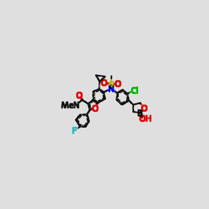 CNC(=O)c1c(-c2ccc(F)cc2)oc2cc(N(c3ccc(C4COB(O)C4)c(Cl)c3)S(C)(=O)=O)c(C3CC3)cc12